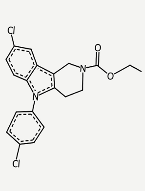 CCOC(=O)N1CCc2c(c3cc(Cl)ccc3n2-c2ccc(Cl)cc2)C1